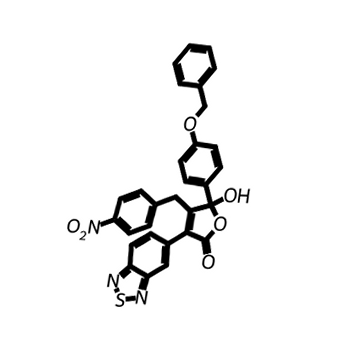 O=C1OC(O)(c2ccc(OCc3ccccc3)cc2)C(Cc2ccc([N+](=O)[O-])cc2)=C1c1ccc2nsnc2c1